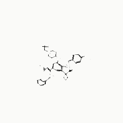 COc1ccc(CN2C(=O)C3(CCC3)c3cc(/C(=C/C=N)Nc4ccccc4)cc(OC4CCN(CC(F)(F)F)CC4)c32)cc1